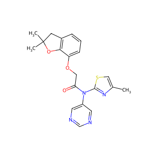 Cc1csc(N(C(=O)COc2cccc3c2OC(C)(C)C3)c2cncnc2)n1